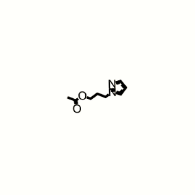 CC(=O)OCCCn1cccn1